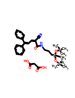 C[Si](C)(C)O[Si](C)(CCCNC(=O)C(C#N)=CC=C(c1ccccc1)c1ccccc1)O[Si](C)(C)C.O=C(O)CC(=O)O